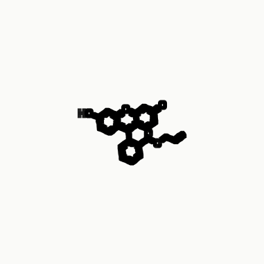 C=CCOC(=O)c1ccccc1-c1c2ccc(=O)cc-2oc2cc(O)ccc12